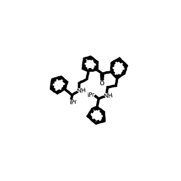 CC(C)C(NCCc1ccccc1C(=O)c1ccccc1CCNC(c1ccccc1)C(C)C)c1ccccc1